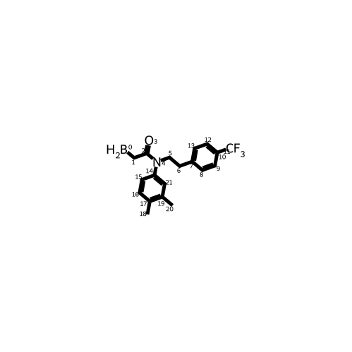 BCC(=O)N(CCc1ccc(C(F)(F)F)cc1)c1ccc(C)c(C)c1